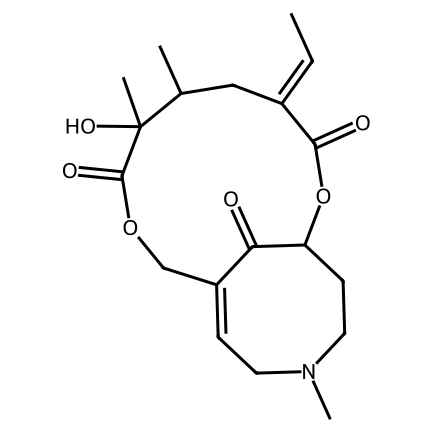 C/C=C1\CC(C)C(C)(O)C(=O)OC/C2=C/CN(C)CCC(OC1=O)C2=O